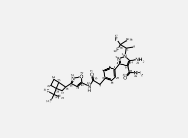 CC(n1nc(-c2ccc(CC(=O)Nc3cc(C4CC5(C(F)(F)F)CCC45)no3)cc2)c(C(N)=O)c1N)C(F)(F)F